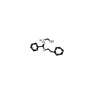 CCO.O=C(OCCc1ccccc1)c1ccccc1